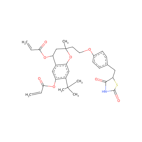 C=CC(=O)Oc1cc2c(cc1C(C)(C)C)OC(C)(CCOc1ccc(CC3SC(=O)NC3=O)cc1)CC2OC(=O)C=C